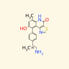 Cc1cc(O)c(-c2ccc([C@@H](C)CN)cc2)c2c1[nH]c(=O)c1scnc12